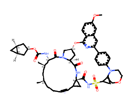 COc1ccc2c(O[C@@H]3C[C@H]4C(=O)N[C@]5(C(=O)NS(=O)(=O)C6CC6)CC5/C=C\CC[C@@H](C)C[C@@H](C)[C@H](NC(=O)O[C@@H]5C[C@@H]6C[C@@H]6C5)C(=O)N4C3)nc(-c3ccc(N4CCOCC4)cc3)cc2c1